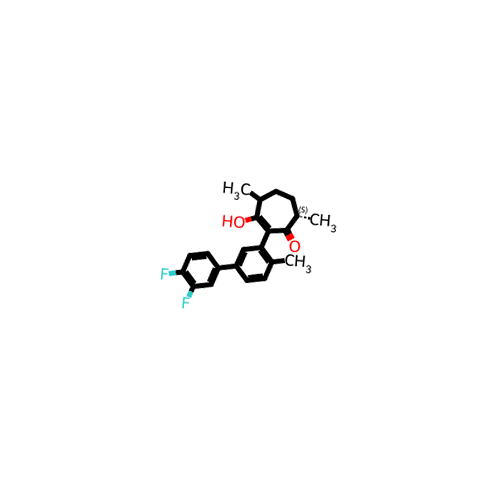 Cc1ccc(-c2ccc(F)c(F)c2)cc1C1=C(O)C(C)CC[C@H](C)C1=O